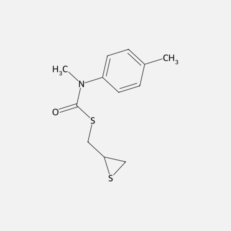 Cc1ccc(N(C)C(=O)SCC2CS2)cc1